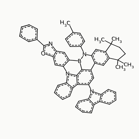 Cc1ccc(N2B3c4cc5nc(-c6ccccc6)oc5cc4-n4c5ccccc5c5c(-n6c7ccccc7c7ccccc76)cc(c3c54)-c3cc4c(cc32)C(C)(C)CCC4(C)C)cc1